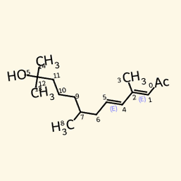 CC(=O)/C=C(C)/C=C/CC(C)CCCC(C)(C)O